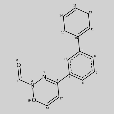 O=CN1N=C(c2cccc(C3=CCC=CC3)c2)C=CO1